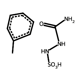 Cc1ccccc1.NC(=O)NNS(=O)(=O)O